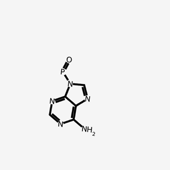 Nc1ncnc2c1ncn2P=O